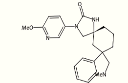 CNCC1(c2ccccc2)CCC[C@]2(CN(c3ccc(OC)nc3)C(=O)N2)C1